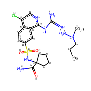 CC(C)(C)CCN(N)C(=O)O.N=C(N)Nc1ncc(Cl)c2ccc(S(=O)(=O)NC3(C(N)=O)CCCC3)cc12